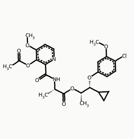 COc1cc(O[C@H](C2CC2)[C@H](C)OC(=O)[C@H](C)NC(=O)c2nccc(OC)c2OC(C)=O)ccc1Cl